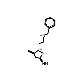 C=C1CC(=N)N[C@H]1CCNCc1ccccc1